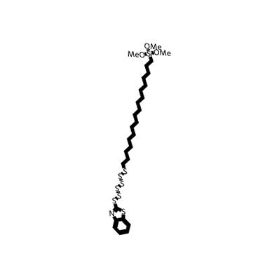 CO[Si](CCCCCCCCCCCCCCCCCCSSSSSSc1nc2ccccc2s1)(OC)OC